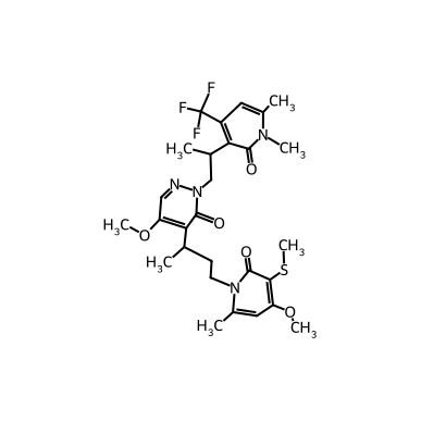 COc1cnn(CC(C)c2c(C(F)(F)F)cc(C)n(C)c2=O)c(=O)c1C(C)CCn1c(C)cc(OC)c(SC)c1=O